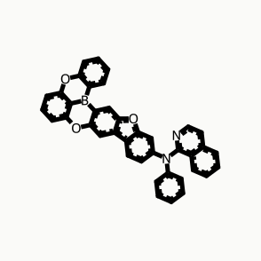 c1ccc(N(c2ccc3c(c2)oc2cc4c(cc23)Oc2cccc3c2B4c2ccccc2O3)c2nccc3ccccc23)cc1